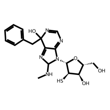 CNC1N=C2C(=NC=NC2(O)Cc2ccccc2)N1[C@@H]1O[C@H](CO)[C@@H](O)[C@H]1S